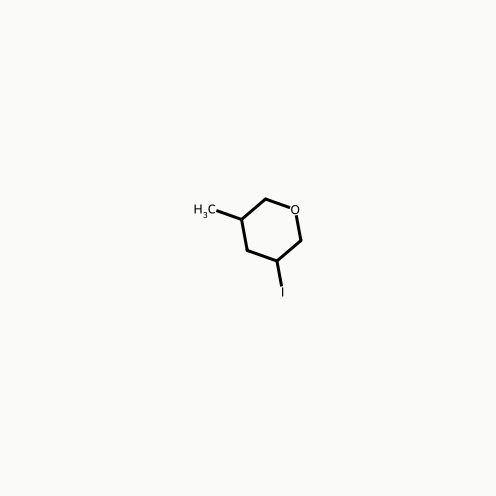 CC1COCC(I)C1